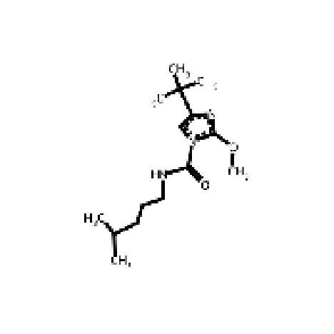 COc1nc(C(C)(C)C)cn1C(=O)NCCCC(C)C